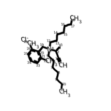 C#CC(I)[N+](CCCCCCC)(CCCCCCC)Cc1c(C)cccc1C.[Cl-]